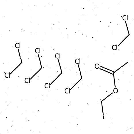 CCOC(C)=O.ClCCl.ClCCl.ClCCl.ClCCl.ClCCl